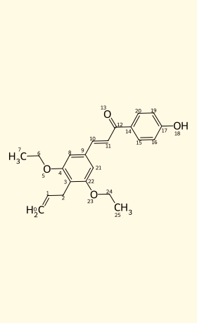 C=CCc1c(OCC)cc(C=CC(=O)c2ccc(O)cc2)cc1OCC